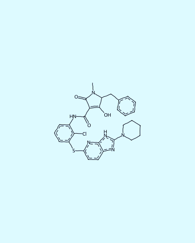 CN1C(=O)C(C(=O)Nc2cccc(Sc3ccc4nc(N5CCCCC5)[nH]c4n3)c2Cl)=C(O)C1Cc1ccccc1